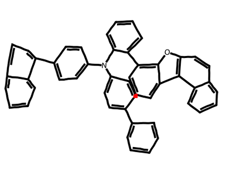 c1ccc(-c2ccc(N(c3ccc(-c4cccc5ccccc45)cc3)c3ccccc3-c3cccc4c3oc3ccc5ccccc5c34)cc2)cc1